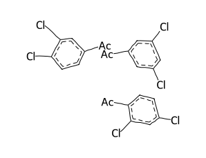 CC(=O)c1cc(Cl)cc(Cl)c1.CC(=O)c1ccc(Cl)c(Cl)c1.CC(=O)c1ccc(Cl)cc1Cl